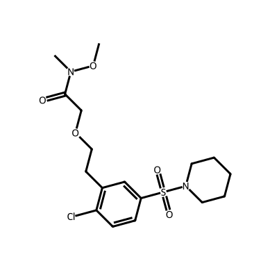 CON(C)C(=O)COCCc1cc(S(=O)(=O)N2CCCCC2)ccc1Cl